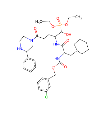 CCOP(=O)(OCC)C(O)C(CCC(=O)N1CCNC(c2ccccc2)C1)NC(=O)C(CC1CCCCC1)NC(=O)OCc1cccc(Cl)c1